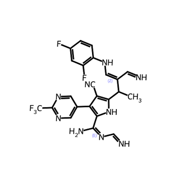 CC(/C(C=N)=C/Nc1ccc(F)cc1F)c1[nH]c(/C(N)=N\C=N)c(-c2cnc(C(F)(F)F)nc2)c1C#N